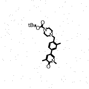 Cc1cc(-c2cc(C)c(=O)n(C)c2)ccc1CN1CCN(C(=O)OC(C)(C)C)CC1